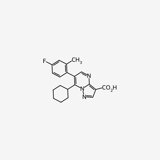 Cc1cc(F)ccc1-c1cnc2c(C(=O)O)cnn2c1C1CCCCC1